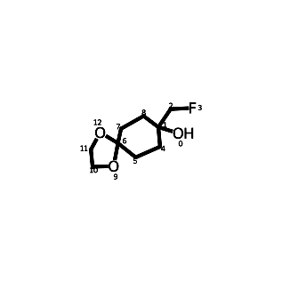 OC1(CF)CCC2(CC1)OCCO2